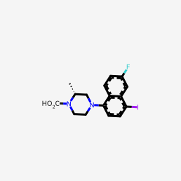 C[C@@H]1CN(c2ccc(I)c3cc(F)ccc23)CCN1C(=O)O